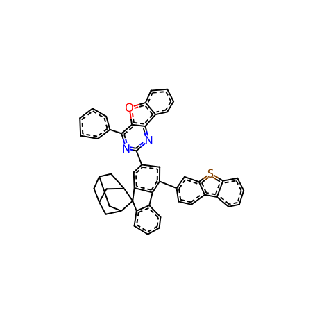 c1ccc(-c2nc(-c3cc(-c4ccc5c(c4)sc4ccccc45)c4c(c3)C3(c5ccccc5-4)C4CC5CC(C4)CC3C5)nc3c2oc2ccccc23)cc1